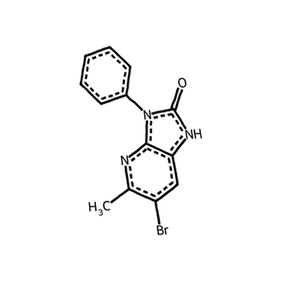 Cc1nc2c(cc1Br)[nH]c(=O)n2-c1ccccc1